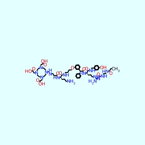 CCC(=O)NCCNC(=O)/N=C(/N)NCCC[C@@H](NC(=O)[C@H](c1ccccc1)c1cccc(OCCCCNC(=O)[C@@H](CCCN)NC(=O)CCNCN2CCN(CC(=O)O)CCN(CC(=O)O)CCN(CC(=O)O)CC2)c1)C(=O)NCc1ccc(O)cc1